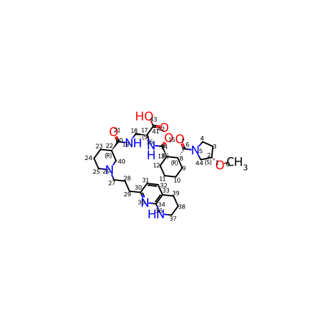 CO[C@H]1CCN(C(=O)[C@@H]2CCCC[C@H]2C(=O)N[C@@H](CNC(=O)[C@@H]2CCCN(CCCc3ccc4c(n3)NCCC4)C2)C(=O)O)C1